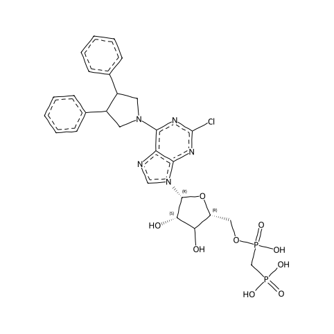 O=P(O)(O)CP(=O)(O)OC[C@H]1O[C@@H](n2cnc3c(N4CC(c5ccccc5)C(c5ccccc5)C4)nc(Cl)nc32)[C@@H](O)C1O